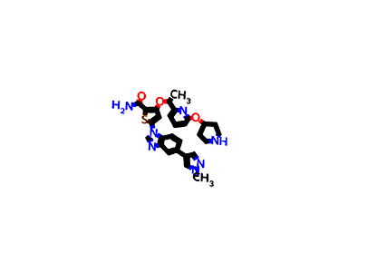 CC(Oc1cc(-n2cnc3cc(-c4cnn(C)c4)ccc32)sc1C(N)=O)c1cccc(OC2CCNCC2)n1